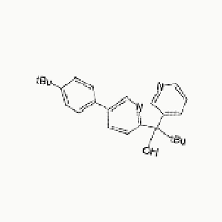 CC(C)(C)c1ccc(-c2ccc(C(O)(c3cccnc3)C(C)(C)C)nc2)cc1